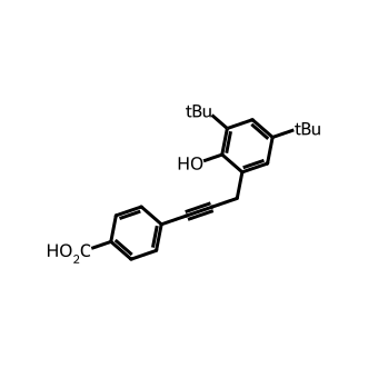 CC(C)(C)c1cc(CC#Cc2ccc(C(=O)O)cc2)c(O)c(C(C)(C)C)c1